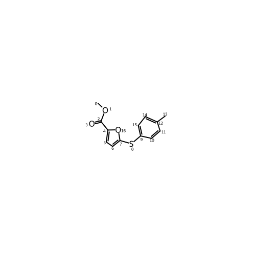 COC(=O)c1ccc(Sc2ccc(C)cc2)o1